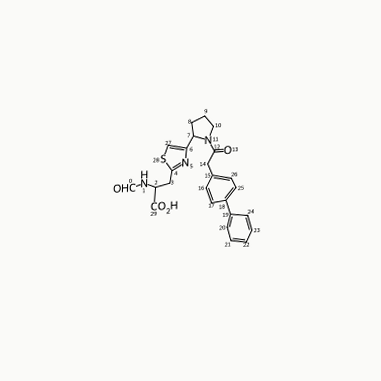 O=CNC(Cc1nc(C2CCCN2C(=O)Cc2ccc(-c3ccccc3)cc2)cs1)C(=O)O